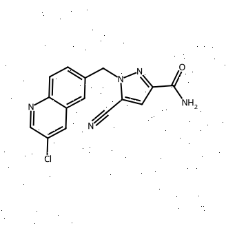 N#Cc1cc(C(N)=O)nn1Cc1ccc2ncc(Cl)cc2c1